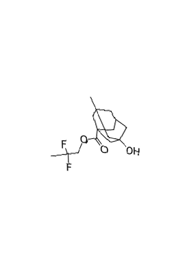 CC(F)(F)COC(=O)C12CC3CC(C)(CC(O)(C3)C1)C2